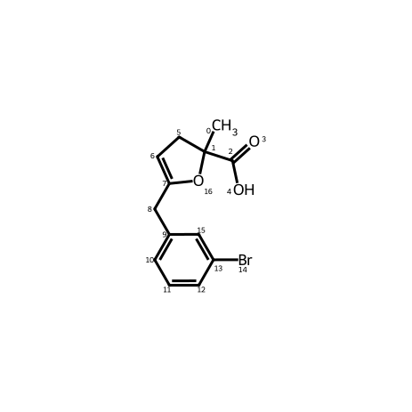 CC1(C(=O)O)CC=C(Cc2cccc(Br)c2)O1